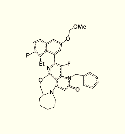 CCc1c(F)ccc2cc(OCOC)cc(-c3nc4c5c(cc(=O)n(Cc6ccccc6)c5c3F)N3CCCCCC3CO4)c12